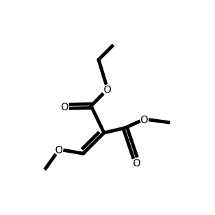 CCOC(=O)/C(=C\OC)C(=O)OC